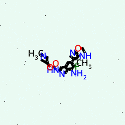 Cc1c(-c2cc3cc(NC(=O)OC4C5CN(C)CC54)ncc3c(N)c2F)cnc2c1NCCO2